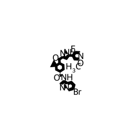 COc1cc(-c2cc(C(=O)C3CC[C@H](C(=O)Nc4cnn5cc(Br)ccc45)CC34CC4)n[nH]2)c(F)cn1